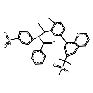 Cc1ccc(-c2cc(C(C)(C)S(C)(=O)=O)cc3cccnc23)cc1C(C)N(C(=O)c1ccccc1)c1ccc([SH](=O)=O)cc1